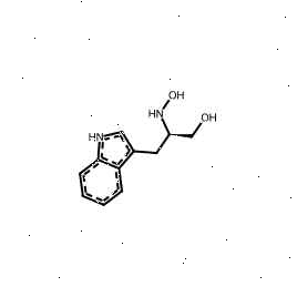 OC[C@@H](Cc1c[nH]c2ccccc12)NO